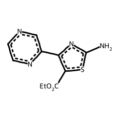 CCOC(=O)c1sc(N)nc1-c1cnccn1